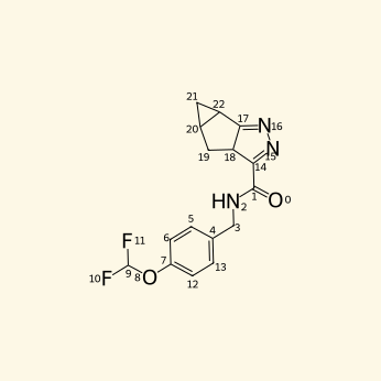 O=C(NCc1ccc(OC(F)F)cc1)C1=NN=C2C1CC1CC21